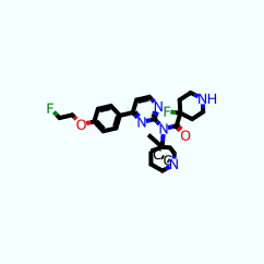 CC1(N(C(=O)C2(F)CCNCC2)c2nccc(-c3ccc(OCCF)cc3)n2)CCN2CCC1CC2